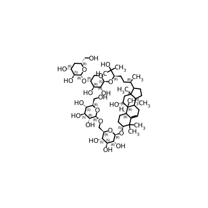 C[C@H](CC[C@@H](O[C@@H]1OC[C@@H](O[C@H]2O[C@@H](CO)C[C@@H](O)[C@@H]2O)[C@H](O)[C@H]1O)C(C)(C)O)C1CC[C@@]2(C)C3CC=C4[C@@H](CC[C@H](O[C@@H]5O[C@H](CO[C@@H]6O[C@H](CO)[C@@H](O)[C@H](O)[C@H]6O)[C@@H](O)[C@H](O)[C@H]5O)C4(C)C)[C@]3(C)[C@H](O)C[C@]12C